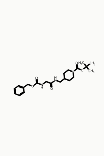 CC(C)(C)OC(=O)N1CCC(CNC(=O)CNC(=O)OCc2ccccc2)CC1